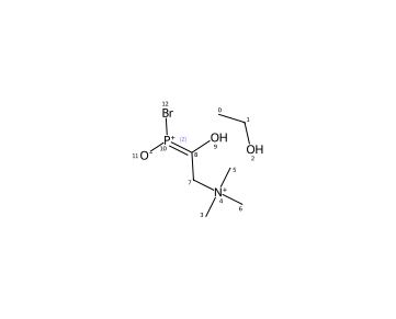 CCO.C[N+](C)(C)C/C(O)=[P+](\[O-])Br